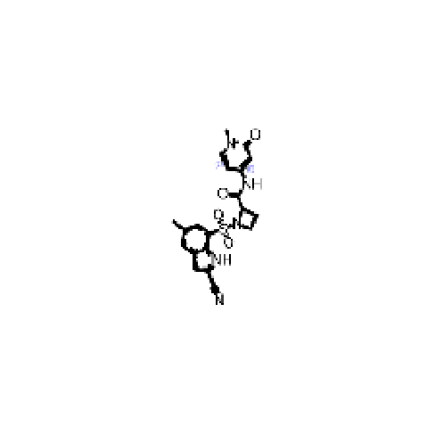 Cc1cc(S(=O)(=O)N2CCC2C(=O)NC(/C=C\N(C)C)=C/C=O)c2[nH]c(C#N)cc2c1